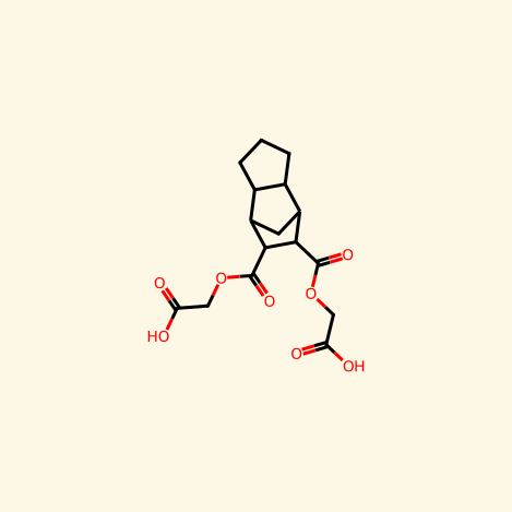 O=C(O)COC(=O)C1C2CC(C3CCCC32)C1C(=O)OCC(=O)O